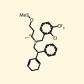 CSOCC[C@@H](C)N(Cc1cccc(C(F)(F)F)c1Cl)CC(C1=CCCC=C1)c1ccccc1